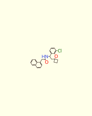 O=C(Cc1cccc2ccccc12)N[C@@H]1CC2(CCC2)Oc2c(Cl)cccc21